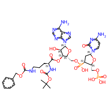 CC(C)(C)OC(=O)N[C@@H](CCCNC(=O)OCc1ccccc1)C(=O)O[C@H]1[C@@H](O)[C@H](n2cnc3c(N)ncnc32)O[C@@H]1COP(=O)(O)[C@H]1C[C@H](n2ccc(N)nc2=O)O[C@@H]1COP(=O)(O)O